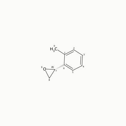 Cc1ccccc1[C@@H]1CO1